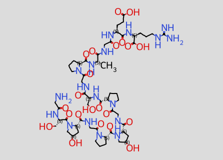 C[C@H](NC(=O)[C@@H]1CCCN1C(=O)CNC(=O)[C@H](CO)NC(=O)[C@@H]1CCCN1C(=O)CNC(=O)[C@@H]1C[C@@H](O)CN1C(=O)[C@@H]1CCCN1C(=O)CNC(=O)[C@@H]1C[C@@H](O)CN1C(=O)[C@H](CO)NC(=O)CN)C(=O)NCC(=O)N[C@@H](CCC(=O)O)C(=O)N[C@@H](CCCNC(=N)N)C(=O)O